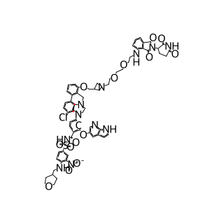 O=C1CCC(N2C(=O)c3cccc(NCCOCCOCCN4CC(COc5cccc(-c6ccc(Cl)cc6)c5CN5CCN(c6ccc(C(=O)NS(=O)(=O)c7ccc(NCC8CCOCC8)c([N+](=O)[O-])c7)c(Oc7cnc8[nH]ccc8c7)c6)CC5)C4)c3C2=O)C(=O)N1